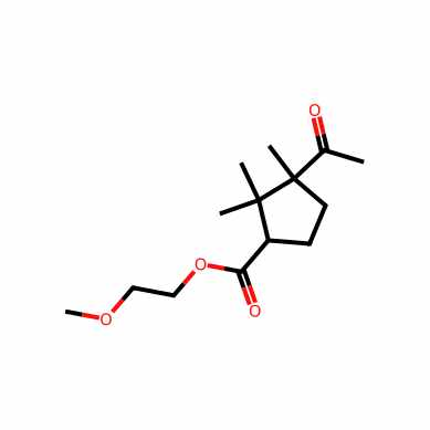 COCCOC(=O)C1CCC(C)(C(C)=O)C1(C)C